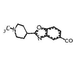 CN1CCC(c2nc3cc(C(=O)O)ccc3o2)CC1